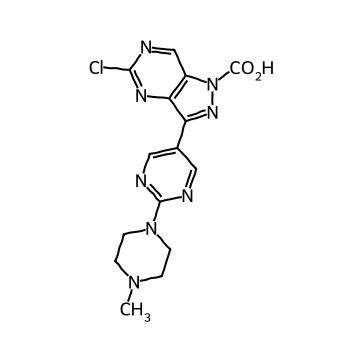 CN1CCN(c2ncc(-c3nn(C(=O)O)c4cnc(Cl)nc34)cn2)CC1